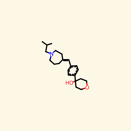 CC(C)CN1CCCC(=Cc2ccc(C3(O)CCOCC3)cc2)CC1